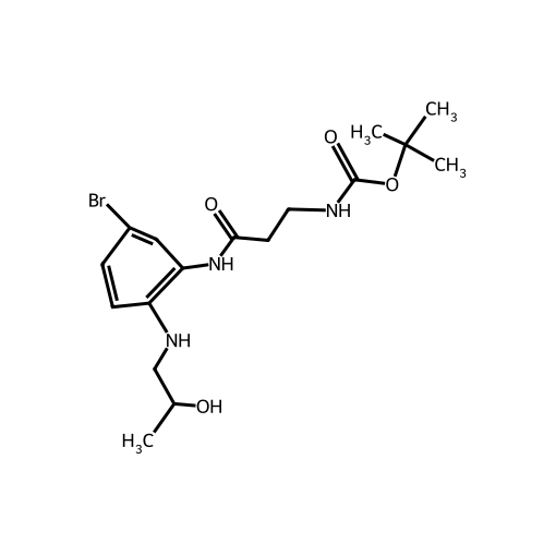 CC(O)CNc1ccc(Br)cc1NC(=O)CCNC(=O)OC(C)(C)C